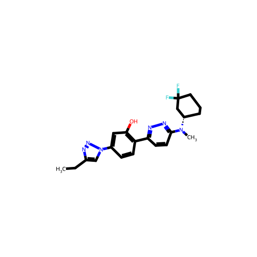 CCc1cn(-c2ccc(-c3ccc(N(C)[C@H]4CCCC(F)(F)C4)nn3)c(O)c2)nn1